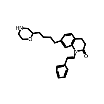 O=C1CCc2ccc(CCCCC3CNCCO3)cc2N1C=Cc1ccccc1